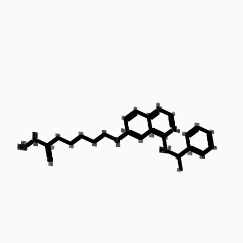 CC(Nc1ncnc2ccc(OCCCCCC(=O)NO)cc12)c1ccccc1